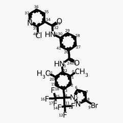 Cc1cc(C(n2ccc(Br)n2)(C(F)(F)F)C(F)(F)F)cc(C)c1NC(=O)c1cccc(NC(=O)c2cccnc2Cl)c1